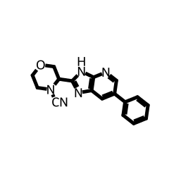 N#CN1CCOCC1c1nc2cc(-c3ccccc3)cnc2[nH]1